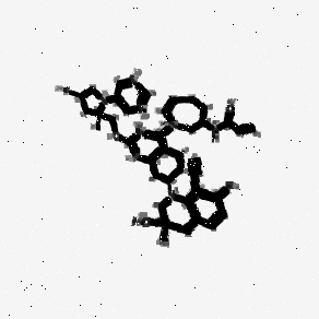 C#Cc1c(F)ccc2c1N([C@H]1CCc3c(nc(OC[C@]4(C)C[C@@H](F)CN4c4cncnc4)nc3N3CCCCC(NC(=O)C=C)C3)C1)C[C@@](C)(O)C2